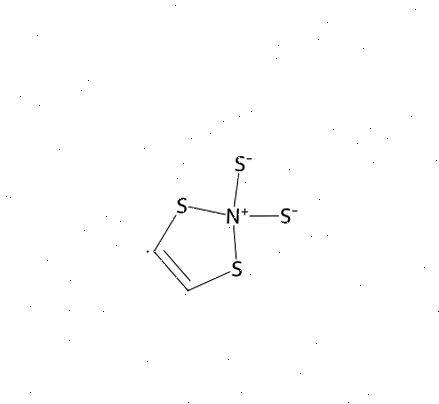 [S-][N+]1([S-])S[C]=CS1